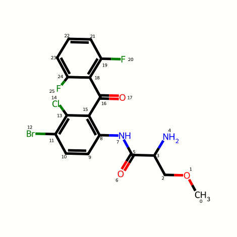 COCC(N)C(=O)Nc1ccc(Br)c(Cl)c1C(=O)c1c(F)cccc1F